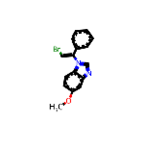 COc1ccc2c(c1)ncn2C(=CBr)c1ccccc1